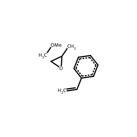 C=Cc1ccccc1.CC1CO1.COC